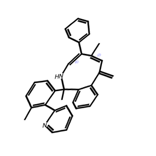 C=C1/C=C(C)\C(c2ccccc2)=C/NC(C)(c2cccc(C)c2-c2ccccn2)c2ccccc21